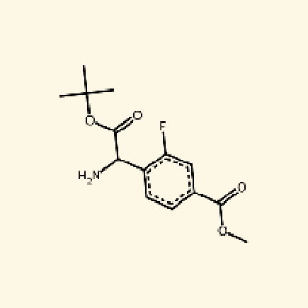 COC(=O)c1ccc(C(N)C(=O)OC(C)(C)C)c(F)c1